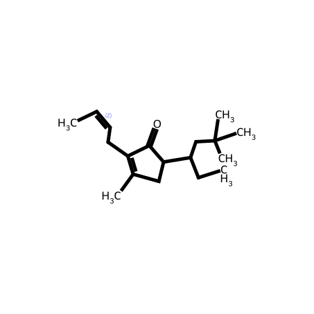 C/C=C\CC1=C(C)CC(C(CC)CC(C)(C)C)C1=O